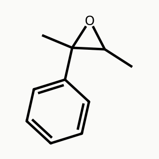 CC1OC1(C)c1ccccc1